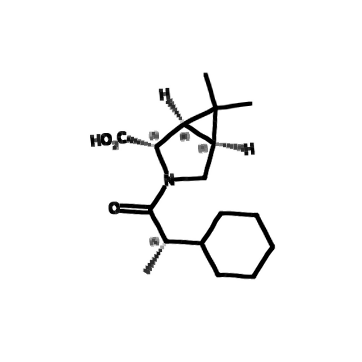 C[C@H](C(=O)N1C[C@H]2[C@@H]([C@H]1C(=O)O)C2(C)C)C1CCCCC1